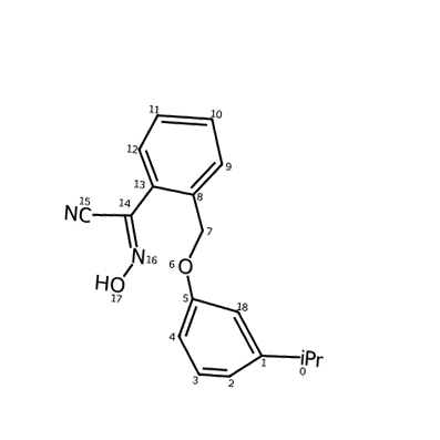 CC(C)c1cccc(OCc2ccccc2C(C#N)=NO)c1